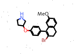 COc1ccc2c(c1)C(c1ccc(OC3CCNC3)cc1)=C(Br)CC2